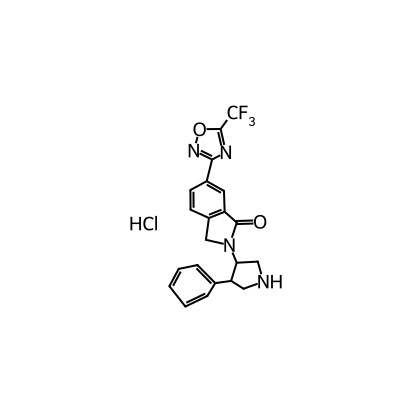 Cl.O=C1c2cc(-c3noc(C(F)(F)F)n3)ccc2CN1C1CNCC1c1ccccc1